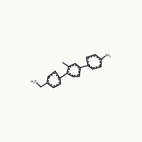 Cc1cc(-c2ccc(P)cc2)ccc1-c1ccc(CP)cc1